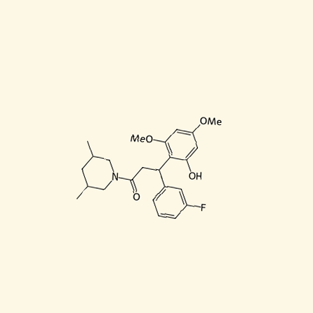 COc1cc(O)c(C(CC(=O)N2CC(C)CC(C)C2)c2cccc(F)c2)c(OC)c1